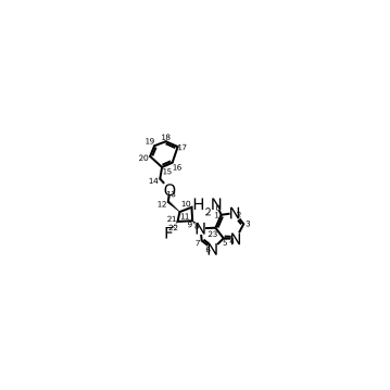 Nc1ncnc2ncn([C@H]3C[C@H](COCc4ccccc4)[C@H]3F)c12